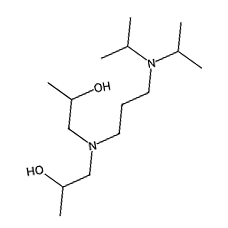 CC(O)CN(CCCN(C(C)C)C(C)C)CC(C)O